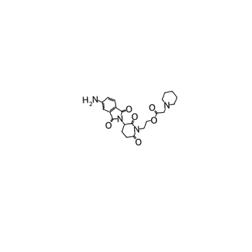 Nc1ccc2c(c1)C(=O)N(C1CCC(=O)N(CCOC(=O)CN3CCCCC3)C1=O)C2=O